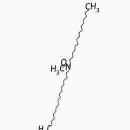 CCCCCCCCCCCCCCCCCCN(CCCCCCCCCCCCCCCCCC)C(C)=O